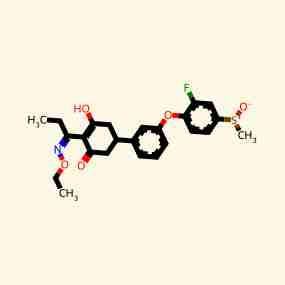 CCO/N=C(/CC)C1=C(O)CC(c2cccc(Oc3ccc([S+](C)[O-])cc3F)c2)CC1=O